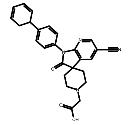 N#Cc1cnc2c(c1)C1(CCN(CC(=O)O)CC1)C(=O)N2c1ccc(C2C=CC=CC2)cc1